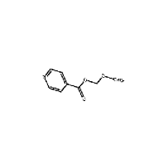 O=[C]OCOC(=O)c1ccncc1